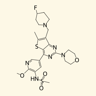 COc1ncc(-c2nc(N3CCOCC3)nc3c(CN4CCC(F)CC4)c(C)sc23)cc1NS(C)(=O)=O